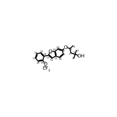 CC(CC(C)(C)O)Oc1ccc2cc(-c3ccccc3OC(F)(F)F)oc2c1